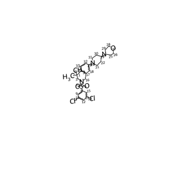 CC1(C)CN(S(=O)(=O)c2cc(Cl)cc(Cl)c2)Cc2cc(N3CCC(N4CCOCC4)CC3)ccc21